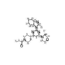 CCC(=O)N1CCC(c2cc(N3CCOC[C@H]3C)nc(-n3c(C)nc4ccccc43)n2)CC1